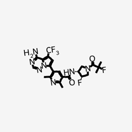 Cc1nc(C)c(-c2cc(C(F)(F)F)c3c(N)ncnn23)cc1C(=O)N[C@@H]1CN(C(=O)C(C)(C)F)C[C@@H]1F